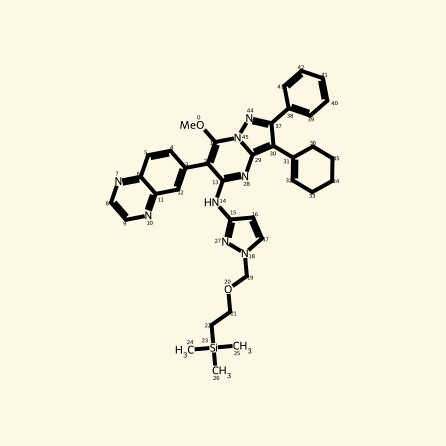 COc1c(-c2ccc3nccnc3c2)c(Nc2ccn(COCC[Si](C)(C)C)n2)nc2c(C3=CCCCC3)c(-c3ccccc3)nn12